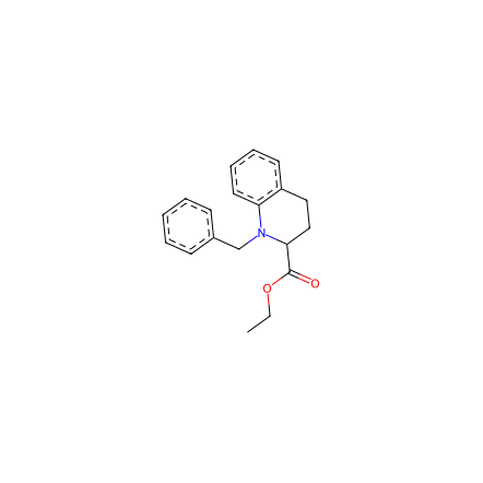 CCOC(=O)C1CCc2ccccc2N1Cc1ccccc1